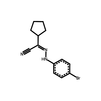 N#CC(=NNc1ccc(Br)cc1)C1CCCC1